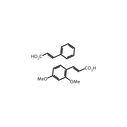 COc1ccc(C=CC(=O)O)c(OC)c1.O=C(O)C=Cc1ccccc1